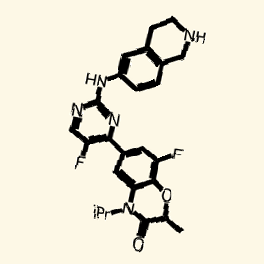 CC1Oc2c(F)cc(-c3nc(Nc4ccc5c(c4)CCNC5)ncc3F)cc2N(C(C)C)C1=O